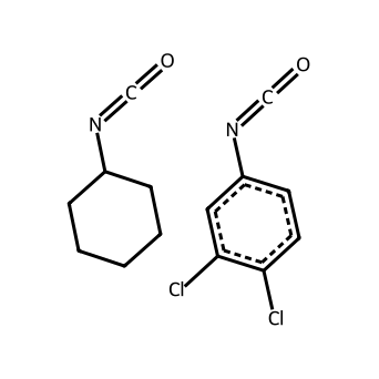 O=C=NC1CCCCC1.O=C=Nc1ccc(Cl)c(Cl)c1